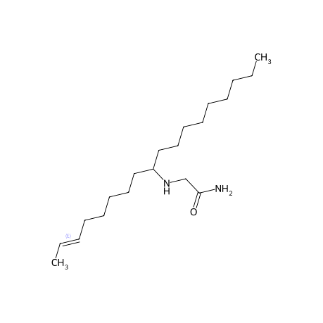 C/C=C/CCCCCC(CCCCCCCCC)NCC(N)=O